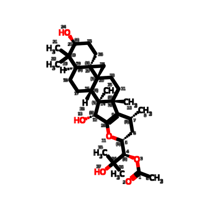 CC(=O)O[C@H]([C@H]1C[C@@H](C)C2=C(O1)[C@H](O)[C@@]1(C)[C@@H]3CC[C@H]4C(C)(C)[C@@H](O)CC[C@@]45C[C@@]35CC[C@]21C)C(C)(C)O